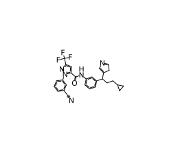 N#Cc1cccc(-n2nc(C(F)(F)F)cc2C(=O)Nc2cccc(C(CCC3CC3)C3=CN=CC3)c2)c1